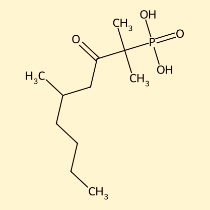 CCCCC(C)CC(=O)C(C)(C)P(=O)(O)O